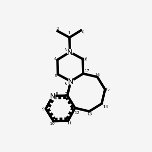 CC(C)N1CCN2c3ncccc3CCCCC2C1